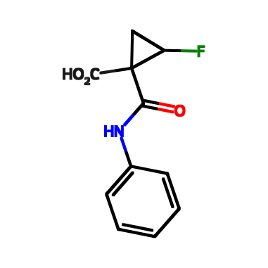 O=C(O)C1(C(=O)Nc2ccccc2)CC1F